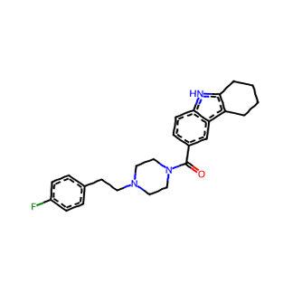 O=C(c1ccc2[nH]c3c(c2c1)CCCC3)N1CCN(CCc2ccc(F)cc2)CC1